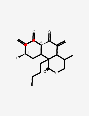 C=C1C(=O)[C@@]23CC[C@@H](CC2C2(CCCC)C(=O)OCC(C)C12)C(=C)C3=O